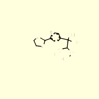 COC(OC)C(C)(O)c1cnc(C2OCCO2)s1